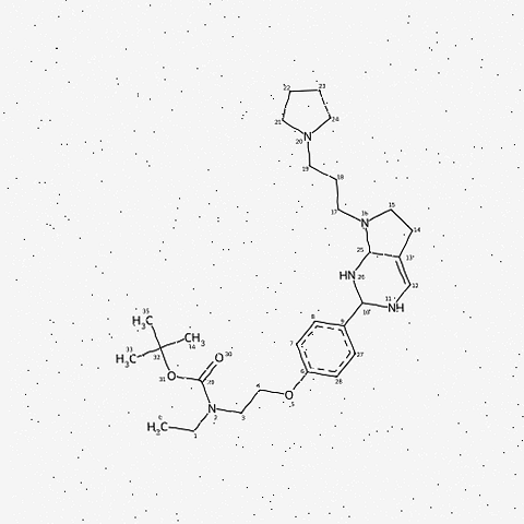 CCN(CCOc1ccc(C2NC=C3CCN(CCCN4CCCC4)C3N2)cc1)C(=O)OC(C)(C)C